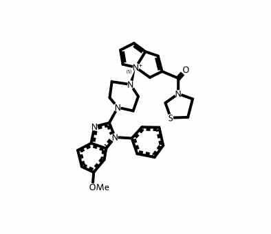 COc1ccc2nc(N3CCN([N@@+]45C=CC=C4C=C(C(=O)N4CCSC4)C5)CC3)n(-c3ccccc3)c2c1